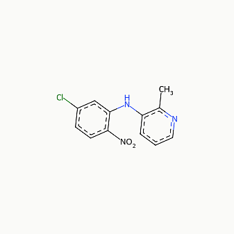 Cc1ncccc1Nc1cc(Cl)ccc1[N+](=O)[O-]